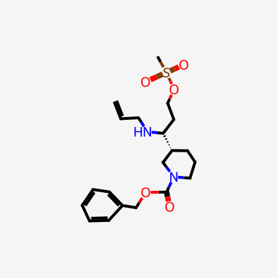 C=CCNC(CCOS(C)(=O)=O)[C@@H]1CCCN(C(=O)OCc2ccccc2)C1